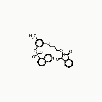 Cc1cc(OCCCON2C(=O)c3ccccc3C2=O)cc(OS(=O)(=O)c2cccc3cnccc23)c1